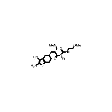 CCN(C(=O)NCCOC)C(=O)[C@@H](CNC)C[C@H]1CCc2sc(N)c(N)c2C1